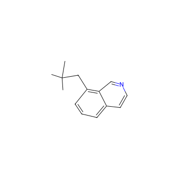 CC(C)(C)Cc1cccc2ccncc12